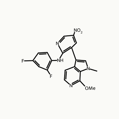 COc1nccc2c(-c3cc([N+](=O)[O-])cnc3Nc3ccc(F)cc3F)cn(C)c12